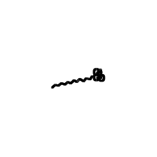 CCCCCCCCCCCCCCOS(=O)(=O)CC